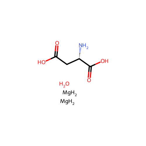 N[C@@H](CC(=O)O)C(=O)O.O.[MgH2].[MgH2]